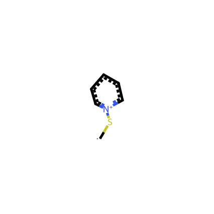 [CH2]S[n+]1ccccc1